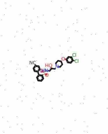 N#Cc1ccc(-c2ccccc2S(=O)(=O)NC[C@H](O)CN2CCC(Oc3ccc(Cl)c(Cl)c3)CC2)cc1